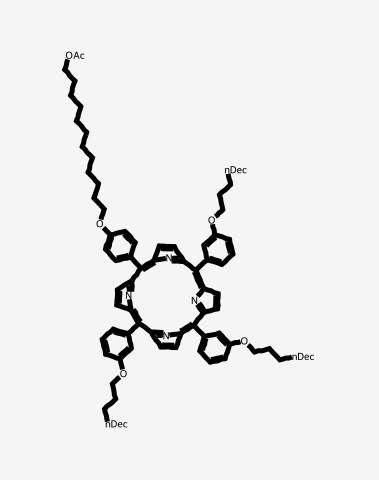 CCCCCCCCCCCCCOc1cccc(C2=C3C=CC(=N3)C(c3cccc(OCCCCCCCCCCCCC)c3)=C3C=CC(=N3)C(c3cccc(OCCCCCCCCCCCCC)c3)=C3C=CC(=N3)C(c3ccc(OCCCCCCCCCCCCOC(C)=O)cc3)=C3C=CC2=N3)c1